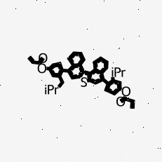 C=CC(=O)Oc1ccc(-c2cc3sc4cc(-c5ccc(OC(=O)C=C)cc5C(C)C)c5ccccc5c4c3c3ccccc23)c(CC(C)C)c1